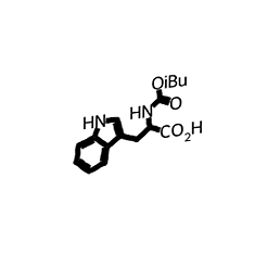 CC(C)COC(=O)NC(Cc1c[nH]c2ccccc12)C(=O)O